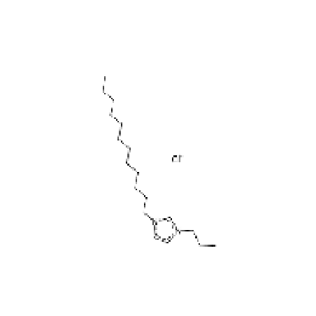 CCCCCCCCCCCC[n+]1ccn(CCC)c1.[Cl-]